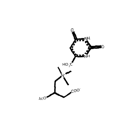 CC(=O)OC(CC(=O)[O-])C[N+](C)(C)C.O=C(O)c1cc(=O)[nH]c(=O)[nH]1